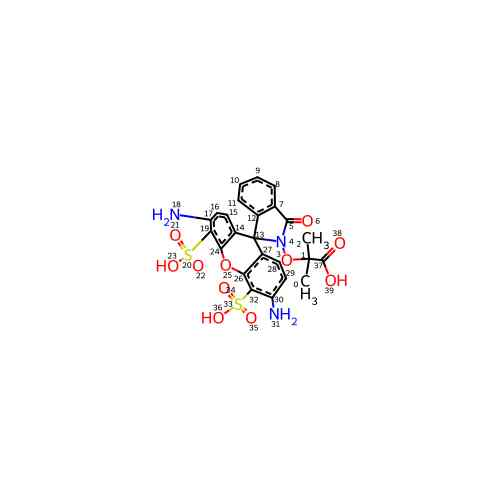 CC(C)(ON1C(=O)c2ccccc2C12c1ccc(N)c(S(=O)(=O)O)c1Oc1c2ccc(N)c1S(=O)(=O)O)C(=O)O